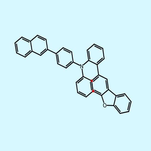 c1ccc(N(c2ccc(-c3ccc4ccccc4c3)cc2)c2ccccc2-c2ccc3oc4ccccc4c3c2)cc1